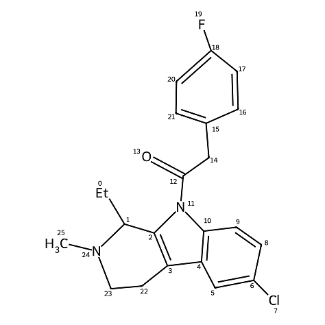 CCC1c2c(c3cc(Cl)ccc3n2C(=O)Cc2ccc(F)cc2)CCN1C